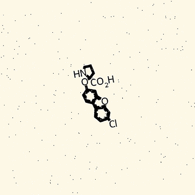 O=C(O)[C@]1(Oc2ccc3c(c2)oc2cc(Cl)ccc23)CCCN1